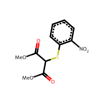 COC(=O)C(Sc1ccccc1[N+](=O)[O-])C(=O)OC